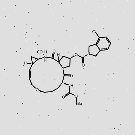 CC(C)(C)OC(=O)N[C@H]1CCCOC/C=C\[C@@H]2C[C@@]2(C(=O)O)NC(=O)[C@@H]2C[C@@H](OC(=O)N3Cc4cccc(Cl)c4C3)CN2C1=O